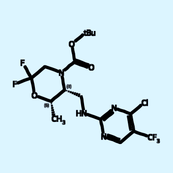 C[C@@H]1OC(F)(F)CN(C(=O)OC(C)(C)C)[C@@H]1CNc1ncc(C(F)(F)F)c(Cl)n1